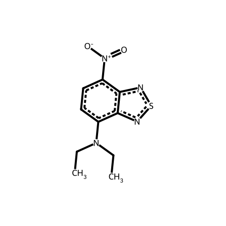 CCN(CC)c1ccc([N+](=O)[O-])c2nsnc12